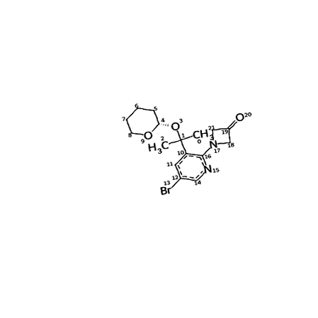 CC(C)(O[C@H]1CCCCO1)c1cc(Br)cnc1N1CC(=O)C1